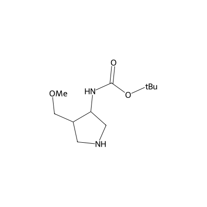 COCC1CNCC1NC(=O)OC(C)(C)C